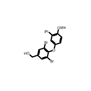 COc1ccc(Oc2c(Br)cc(CO)cc2Br)cc1C(C)C